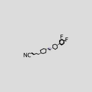 N#CC=CCC[C@H]1CC[C@H](/C=C/[C@H]2CC[C@H](c3ccc(F)c(F)c3)CC2)CC1